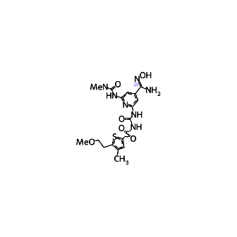 CNC(=O)Nc1cc(/C(N)=N/O)cc(NC(=O)NS(=O)(=O)c2cc(C)c(CCOC)s2)n1